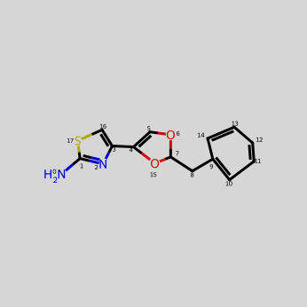 Nc1nc(C2=COC(Cc3ccccc3)O2)cs1